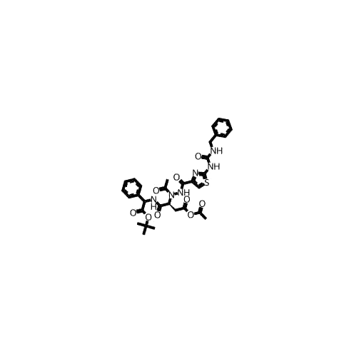 CC(=O)OC(=O)C[C@@H](C(=O)NC(C(=O)OC(C)(C)C)c1ccccc1)N(NC(=O)c1csc(NC(=O)NCc2ccccc2)n1)C(C)=O